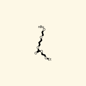 CCCCOCCOCCCOC(=O)OCCOCC